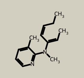 C/C=C(\C=C/CC)N(C)c1ncccc1C